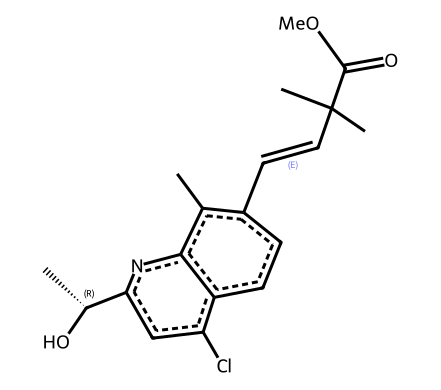 COC(=O)C(C)(C)/C=C/c1ccc2c(Cl)cc([C@@H](C)O)nc2c1C